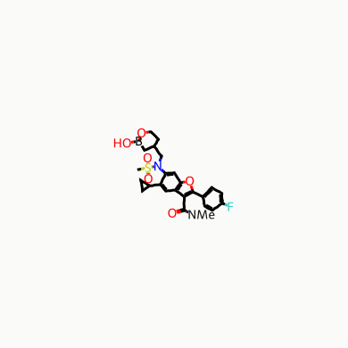 CNC(=O)c1c(-c2ccc(F)cc2)oc2cc(N(CC3CCOB(O)C3)S(C)(=O)=O)c(C3CC3)cc12